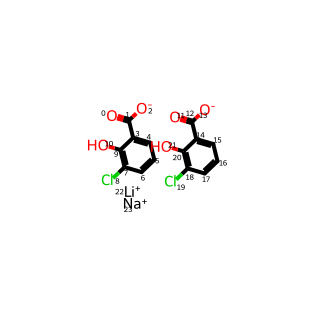 O=C([O-])c1cccc(Cl)c1O.O=C([O-])c1cccc(Cl)c1O.[Li+].[Na+]